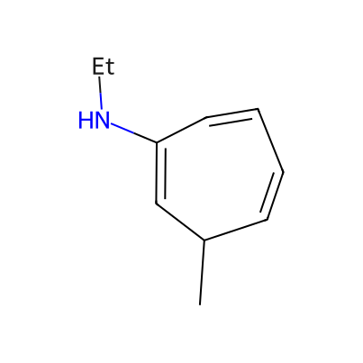 CCNC1=CC(C)C=CC=C1